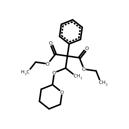 CCOC(=O)C(C(=O)OCC)(c1ccccc1)C(C)OC1CCCCO1